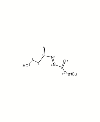 C[C@H](CCO)N=NC(=O)OC(C)(C)C